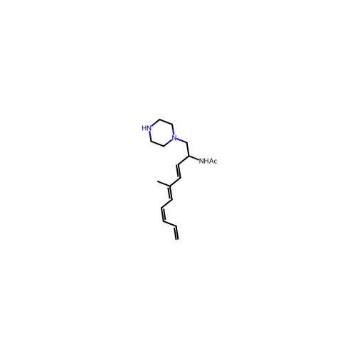 C=C\C=C/C=C(C)/C=C/C(CN1CCNCC1)NC(C)=O